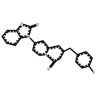 O=c1oc2ccccc2n1-c1ccn2c(=O)cc(Cc3ccc(F)cc3)cc2c1